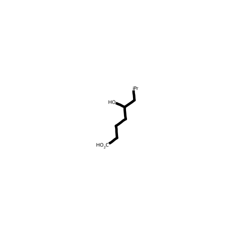 CC(C)CC(O)CCCC(=O)O